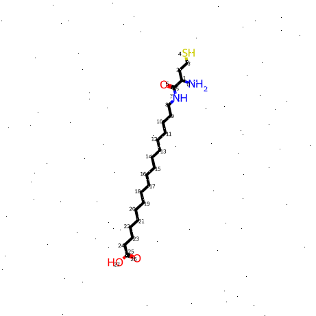 NC(CCS)C(=O)NCCCCCCCCCCCCCCCCCC(=O)O